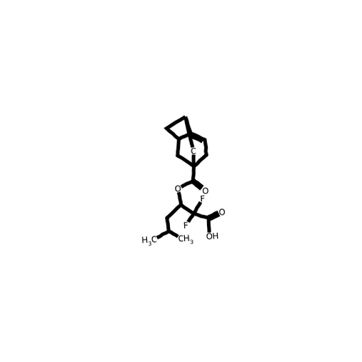 CC(C)CC(OC(=O)C12CC=C3C(CC3C1)C2)C(F)(F)C(=O)O